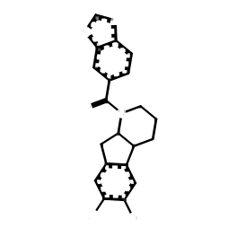 Cc1cc2c(cc1O)C1CCCN(C(=O)c3ccc4[nH]cnc4c3)C1C2